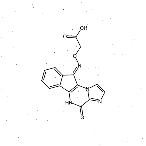 O=C(O)CO/N=C1\c2ccccc2-c2[nH]c(=O)c3nccn3c21